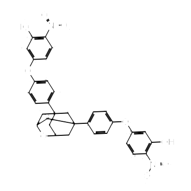 O=[N+]([O-])c1ccc(Oc2ccc(C34CC5CC(c6ccc(Oc7ccc([N+](=O)[O-])c(O)c7)cc6)(CC(C3)O5)C4)cc2)cc1O